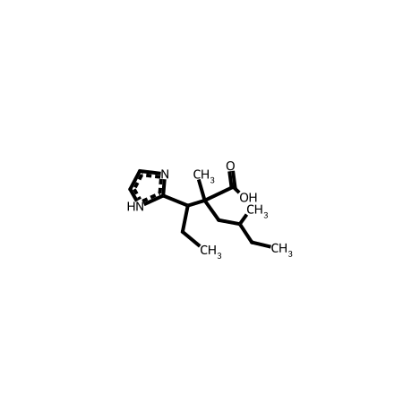 CCC(C)CC(C)(C(=O)O)C(CC)c1ncc[nH]1